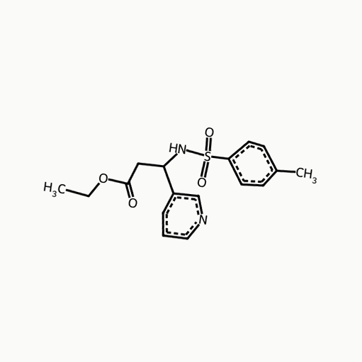 CCOC(=O)CC(NS(=O)(=O)c1ccc(C)cc1)c1cccnc1